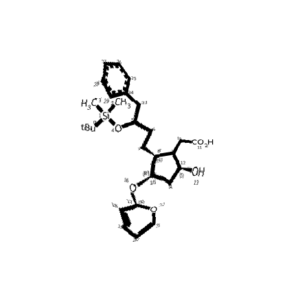 CC(C)(C)[Si](C)(C)OC(CC[C@H]1C(CC(=O)O)[C@@H](O)C[C@H]1O[C@@H]1C=CC=CO1)Cc1ccccc1